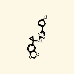 ClC1=CC=C(c2csc(NC3(c4ccc5c(c4)OCO5)CC3)n2)C1